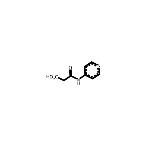 O=C(O)CC(=O)Nc1ccncc1